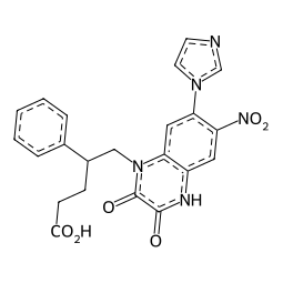 O=C(O)CCC(Cn1c(=O)c(=O)[nH]c2cc([N+](=O)[O-])c(-n3ccnc3)cc21)c1ccccc1